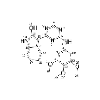 COc1cc(Nc2ncnc(-c3c(O)[nH]c4ccccc34)n2)cc(OC)c1OC